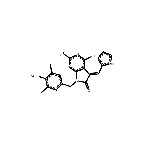 COc1c(C)cc(CN2C(=O)/C(=C/c3ncc[nH]3)c3c(Cl)nc(N)nc32)nc1C